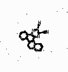 N#Cc1nc2c3ccccc3c3ccc4ccccc4c3c2nc1C#N